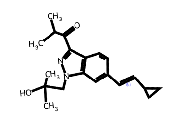 CC(C)C(=O)c1nn(CC(C)(C)O)c2cc(/C=C/C3CC3)ccc12